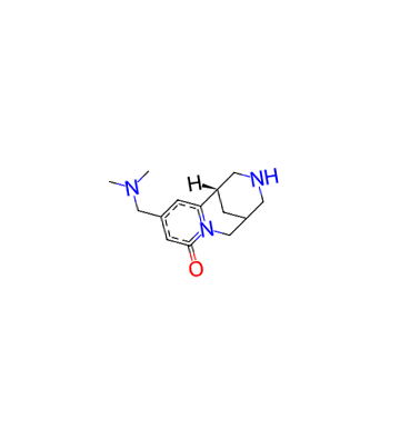 CN(C)Cc1cc2n(c(=O)c1)CC1CNC[C@@H]2C1